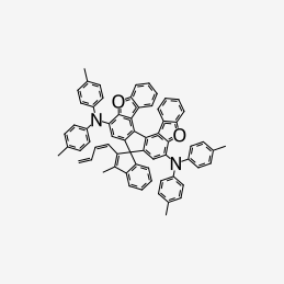 C=C/C=C\C1=C(C)c2ccccc2C12c1cc(N(c3ccc(C)cc3)c3ccc(C)cc3)c3oc4ccccc4c3c1-c1c2cc(N(c2ccc(C)cc2)c2ccc(C)cc2)c2oc3ccccc3c12